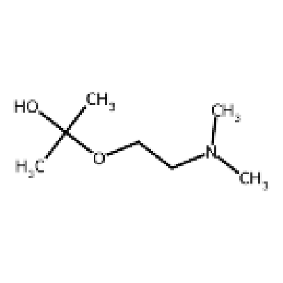 CN(C)CCOC(C)(C)O